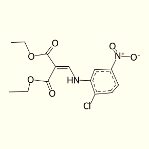 CCOC(=O)C(=CNc1cc([N+](=O)[O-])ccc1Cl)C(=O)OCC